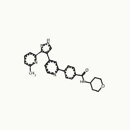 Cc1cccc(-c2n[nH]cc2-c2ccnc(-c3ccc(C(=O)NC4CCOCC4)cc3)c2)n1